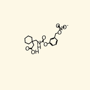 O=C(O)CC1(CNC(=O)Oc2cccc(CO[N+](=O)[O-])c2)CCCCC1